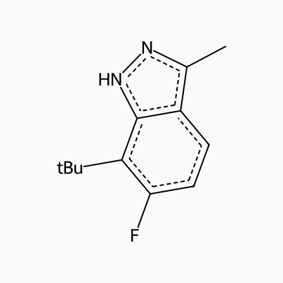 Cc1n[nH]c2c(C(C)(C)C)c(F)ccc12